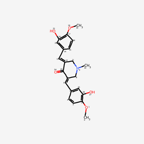 COc1ccc(/C=C2\CN(C)C/C(=C\c3ccc(OC)c(O)c3)C2=O)cc1O